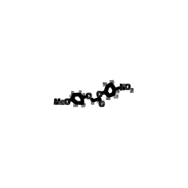 COc1ccc(OCC(=O)Oc2ccc([N+](=O)[O-])cc2)cc1